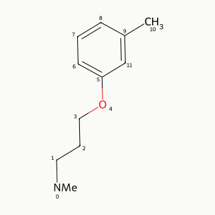 CNCCCOc1cccc(C)c1